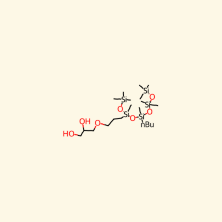 CCCC[Si](C)(O[Si](C)(C)O[Si](C)(C)C)O[Si](C)(CCCOCC(O)CO)O[Si](C)(C)C